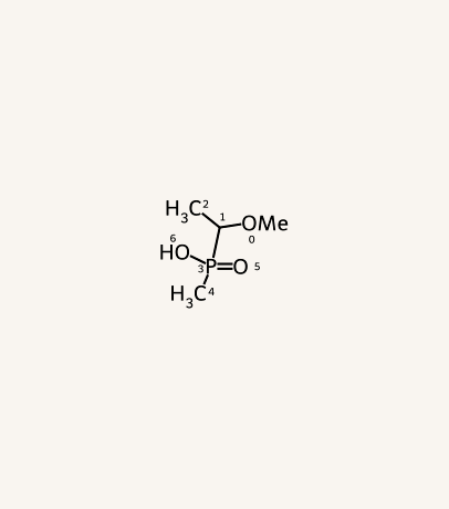 COC(C)P(C)(=O)O